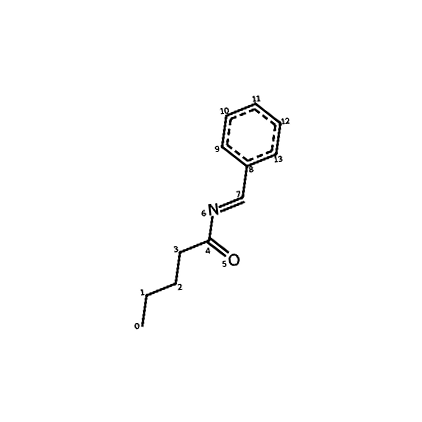 CCCCC(=O)N=Cc1ccccc1